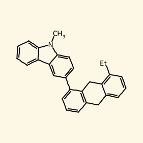 CCc1cccc2c1Cc1c(cccc1-c1ccc3c(c1)c1ccccc1n3C)C2